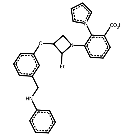 CCC1C(Oc2cccc(CNc3ccccc3)c2)CN1c1cccc(C(=O)O)c1-n1cccc1